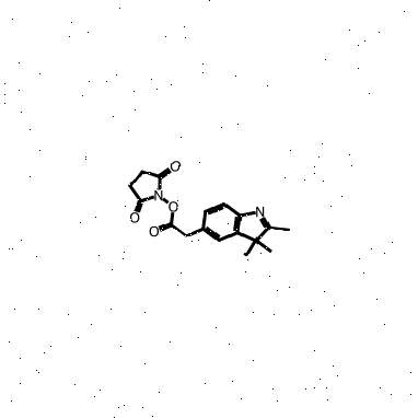 CC1=Nc2ccc(CC(=O)ON3C(=O)CCC3=O)cc2C1(C)C